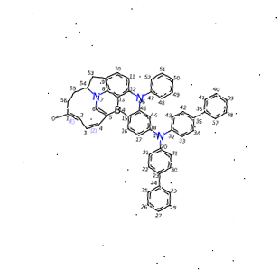 C/C1=C\C=C/C2=CN3c4c(ccc5c4B2c2ccc(N(c4ccc(-c6ccccc6)cc4)c4ccc(-c6ccccc6)cc4)cc2N5c2ccccc2)CC3CC1